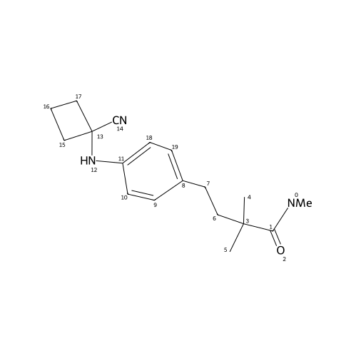 CNC(=O)C(C)(C)CCc1ccc(NC2(C#N)CCC2)cc1